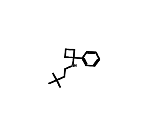 CC(C)(C)CCNC1(c2ccccc2)CCC1